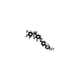 CCCC1CCC(c2ccc(COc3ccc(C(F)(F)Oc4cc(F)c(F)c(F)c4)c(F)c3F)cc2)OC1